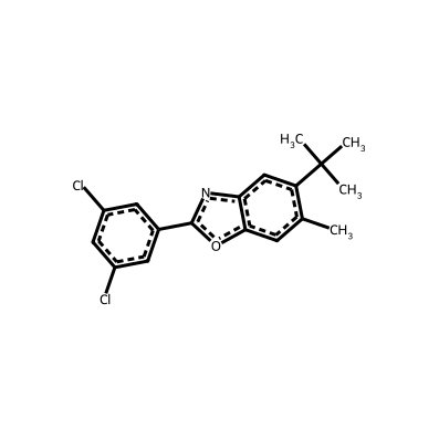 Cc1cc2oc(-c3cc(Cl)cc(Cl)c3)nc2cc1C(C)(C)C